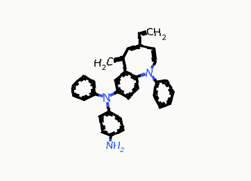 C=CC1=C/C(=C)c2cc(N(c3ccccc3)c3ccc(N)cc3)ccc2N(c2ccccc2)/C=C\1